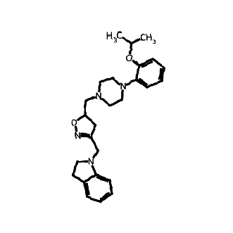 CC(C)Oc1ccccc1N1CCN(CC2CC(CN3CCc4ccccc43)=NO2)CC1